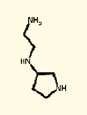 NCCNC1CCNC1